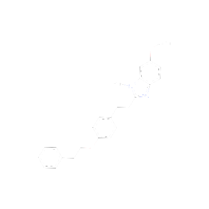 CCCCOc1ccc2nc(CCc3ccc(OCCc4ccccc4)cc3)n(CCCC)c2c1